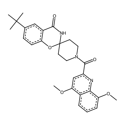 COc1cc(C(=O)N2CCC3(CC2)NC(=O)c2cc(C(C)(C)C)ccc2O3)nc2c(OC)cccc12